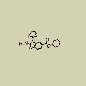 Nc1nc2ccc(C(=O)OC3CCCCC3)cc2n1C1=NCCS1